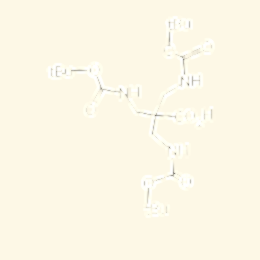 CC(C)(C)OC(=O)NCC(CNC(=O)OC(C)(C)C)(CNC(=O)OC(C)(C)C)C(=O)O